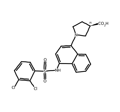 O=C(O)[C@@H]1CCN(c2ccc(NS(=O)(=O)c3cccc(Cl)c3Cl)c3ccccc23)C1